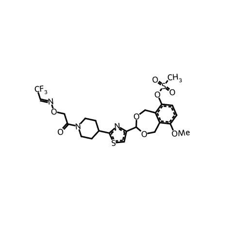 COc1ccc(OS(C)(=O)=O)c2c1COC(c1csc(C3CCN(C(=O)CO/N=C/C(F)(F)F)CC3)n1)OC2